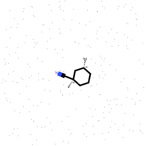 [2H][C@@H]1CCC[C@@](C)(C#N)C1